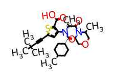 CC1COCCN1C(=O)[C@H](C)N(c1cc(C#CC(C)(C)C)sc1C(=O)O)C(=O)[C@H]1CC[C@H](C)CC1